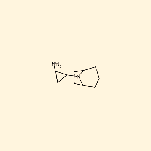 NC1CC1N1C2CCCC1CC2